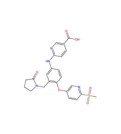 CS(=O)(=O)c1ccc(Oc2ccc(Nc3ccc(C(=O)O)cn3)cc2CN2CCCC2=O)cn1